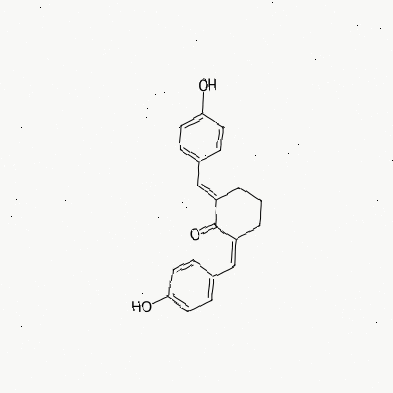 O=C1C(=Cc2ccc(O)cc2)CCCC1=Cc1ccc(O)cc1